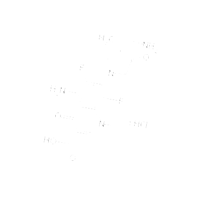 CC1(CN)CN(c2c(F)c(N)c3c(=O)c(C(=O)O)cn(C4CC4)c3c2F)CC1=O.Cl